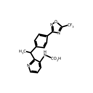 CC(c1ccc(-c2noc(C(F)(F)F)n2)cc1)c1ncccc1NC(=O)O